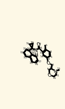 Cc1ccc(OCC2COCCN2C)cc1C(=O)NC1(c2cccc3ccccc23)CC1